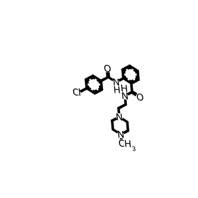 CN1CCN(CCNC(=O)c2ccccc2NC(=O)c2ccc(Cl)cc2)CC1